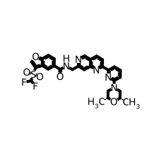 C[C@@H]1CN(c2cccc(-c3ccc4cnc(CNC(=O)c5ccc6occ(S(=O)(=O)C(F)F)c6c5)cc4n3)n2)C[C@H](C)O1